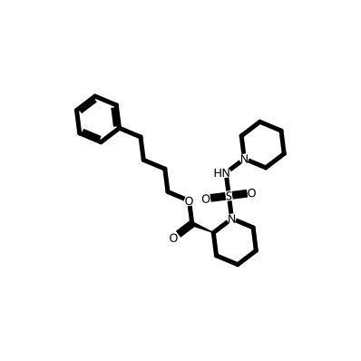 O=C(OCCCCc1ccccc1)[C@@H]1CCCCN1S(=O)(=O)NN1CCCCC1